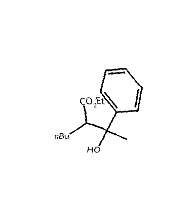 CCCCC(C(=O)OCC)C(C)(O)c1ccccc1